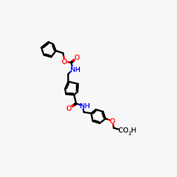 O=C(O)COc1ccc(CNC(=O)c2ccc(CNC(=O)OCc3ccccc3)cc2)cc1